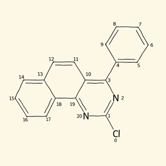 Clc1nc(-c2ccccc2)c2ccc3ccccc3c2n1